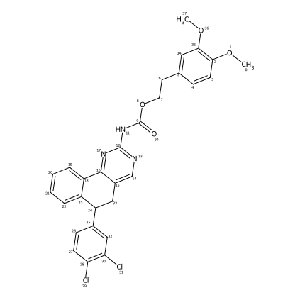 COc1ccc(CCOC(=O)Nc2ncc3c(n2)-c2ccccc2C(c2ccc(Cl)c(Cl)c2)C3)cc1OC